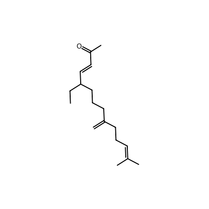 C=C(CCC=C(C)C)CCCC(/C=C/C(C)=O)CC